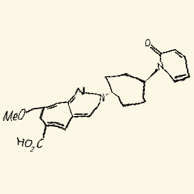 COc1cc2nn([C@H]3CC[C@H](n4ccccc4=O)CC3)cc2cc1C(=O)O